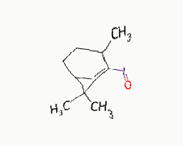 CC1CCC2C(=C1I=O)C2(C)C